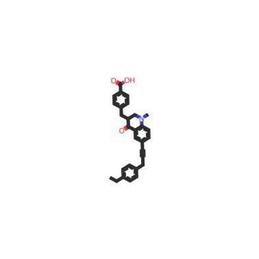 CCc1ccc(CC#Cc2ccc3c(c2)C(=O)C(Cc2ccc(C(=O)O)cc2)CN3C)cc1